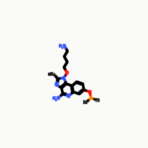 CCCCc1nc2c(N)nc3cc(OP(CC)CC)ccc3c2n1OCCCCN